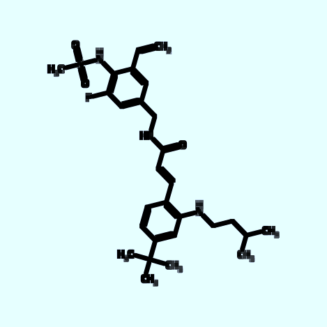 C=Cc1cc(CNC(=O)C=Cc2ccc(C(C)(C)C)cc2NCCC(C)C)cc(F)c1NS(C)(=O)=O